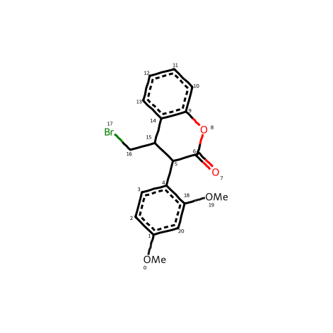 COc1ccc(C2C(=O)Oc3ccccc3C2CBr)c(OC)c1